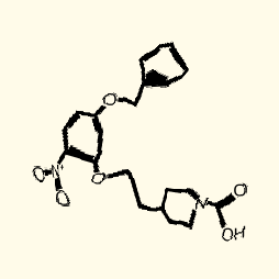 O=C(O)N1CCC(CCOc2cc(OCc3ccccc3)ccc2[N+](=O)[O-])CC1